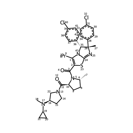 CC(C)C1=C(C(=O)N2[C@H](C)CC[C@H]2C(=O)N2CC[C@@H](N(C)C3CC3)C2)SC2=N[C@@](C)(c3ccc(Cl)cc3)[C@@H](c3ccc(Cl)cc3)N21